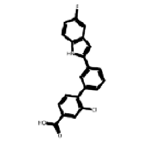 O=C(O)c1ccc(-c2cccc(-c3cc4cc(F)ccc4[nH]3)c2)c(Cl)c1